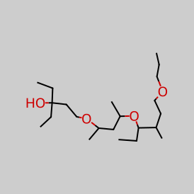 CCCOCCC(C)C(CC)OC(C)CC(C)OCCC(O)(CC)CC